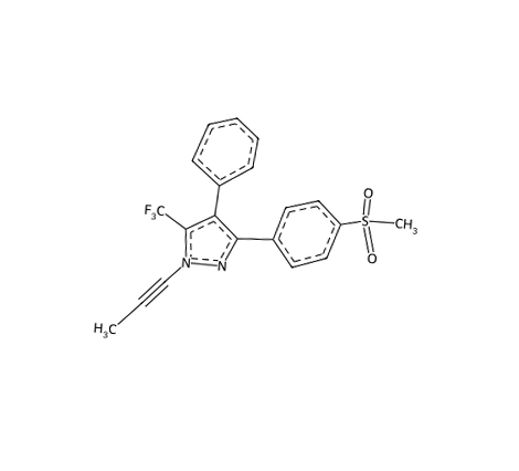 CC#Cn1nc(-c2ccc(S(C)(=O)=O)cc2)c(-c2ccccc2)c1C(F)(F)F